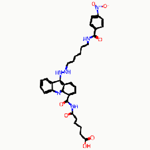 O=C(O)CCCCC(=O)NC(=O)c1cccc2c(NNCCCCCCNC(=O)c3ccc([N+](=O)[O-])cc3)c3ccccc3nc12